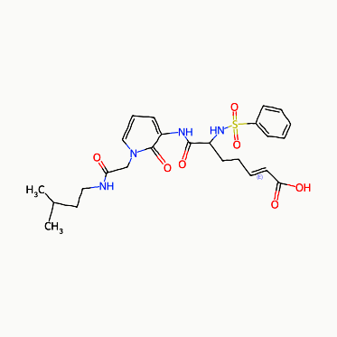 CC(C)CCNC(=O)Cn1cccc(NC(=O)C(CC/C=C/C(=O)O)NS(=O)(=O)c2ccccc2)c1=O